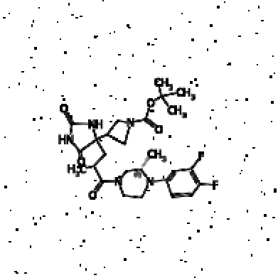 CC(CC1(C2CN(C(=O)OC(C)(C)C)C2)NC(=O)NC1=O)C(=O)N1CCN(c2ccc(F)c(F)c2)[C@@H](C)C1